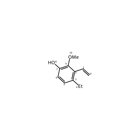 C=Cc1c(CC)ccc(O)c1OC